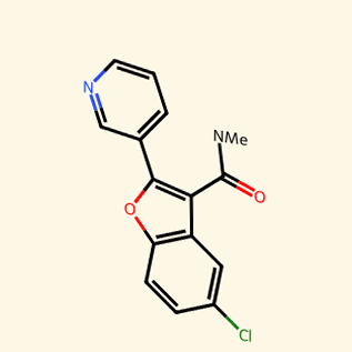 CNC(=O)c1c(-c2cccnc2)oc2ccc(Cl)cc12